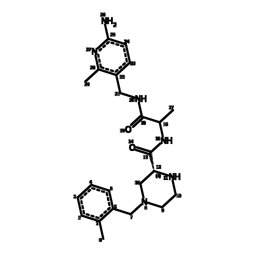 Cc1ccccc1CN1CCN[C@@H](C(=O)NC(C)C(=O)NCc2ccc(N)nc2C)C1